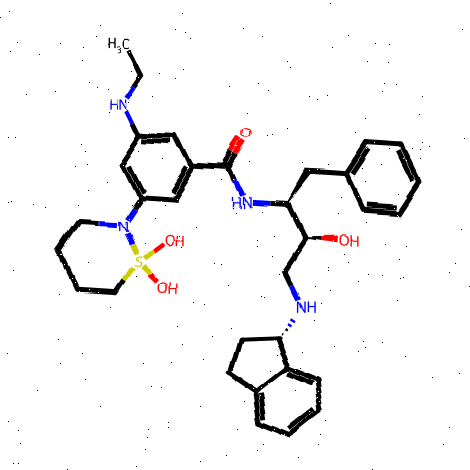 CCNc1cc(C(=O)N[C@@H](Cc2ccccc2)[C@@H](O)CN[C@H]2CCc3ccccc32)cc(N2CCCCS2(O)O)c1